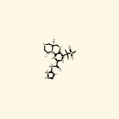 C[C@@H]1COC[C@H]2COc3c(nc(C(=O)Nc4ccn[nH]4)nc3C(C)(C)S(C)(=O)=O)N21